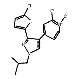 CC(C)Cn1cc(-c2cc[n+]([O-])c(Cl)c2)c(-c2ccc(Cl)s2)n1